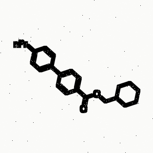 CCCc1ccc(-c2ccc(C(=O)OCC3CCCCC3)cc2)cc1